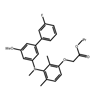 COc1cc(-c2cccc(F)c2)cc(N(C)c2c(C)ccc(OCC(=O)OC(C)C)c2C)c1